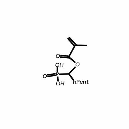 C=C(C)C(=O)OC(CCCCC)P(=O)(O)O